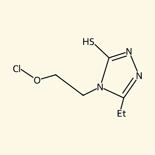 CCc1nnc(S)n1CCOCl